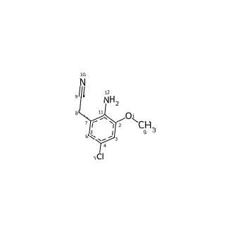 COc1cc(Cl)cc(CC#N)c1N